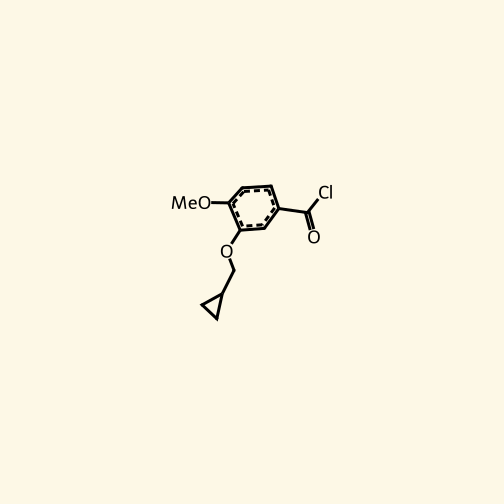 COc1ccc(C(=O)Cl)cc1OCC1CC1